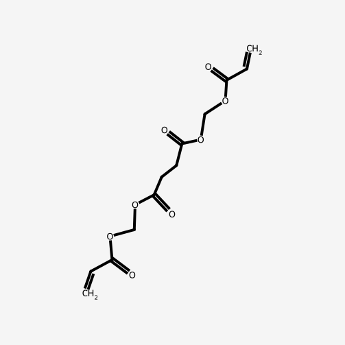 C=CC(=O)OCOC(=O)CCC(=O)OCOC(=O)C=C